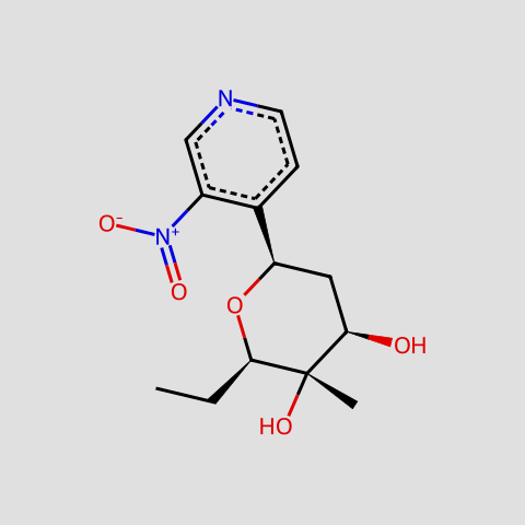 CC[C@H]1O[C@@H](c2ccncc2[N+](=O)[O-])C[C@@H](O)[C@]1(C)O